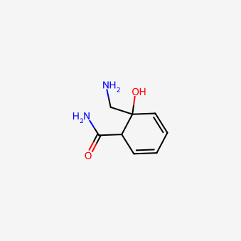 NCC1(O)C=CC=CC1C(N)=O